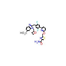 NC(=O)c1csc(COc2cccc(-c3cc(F)c(Cc4nc5ccc(C(=O)O)cc5n4CC4CCO4)cc3F)n2)n1